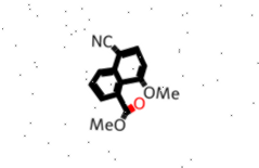 COC(=O)c1cccc2c(C#N)ccc(OC)c12